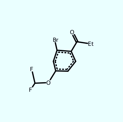 CCC(=O)c1ccc(OC(F)F)cc1Br